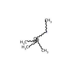 CCCCCCCC/C=C\CCCCCCCC(=O)O[PH](CCCCCCCC)(CCCCCCCC)CCCCCCCC